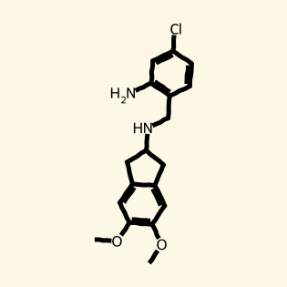 COc1cc2c(cc1OC)CC(NCc1ccc(Cl)cc1N)C2